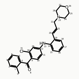 Cc1ccccc1C(=O)c1ccc(Nc2ccccc2C=CCN2CCOCC2)cc1Cl